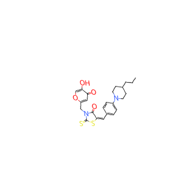 CCCC1CCN(c2ccc(C=C3SC(=S)N(Cc4cc(=O)c(O)co4)C3=O)cc2)CC1